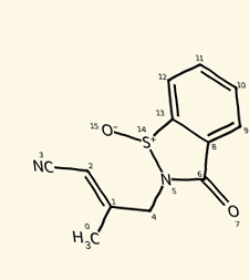 CC(=CC#N)Cn1c(=O)c2ccccc2[s+]1[O-]